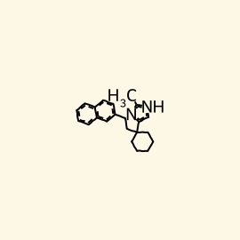 Cc1nc(C2(CCc3ccc4ccccc4c3)CCCCC2)c[nH]1